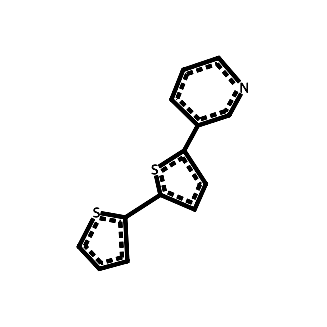 c1cncc(-c2ccc(-c3cccs3)s2)c1